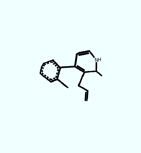 C=CCC1=C(c2ccccc2C)C=CNC1C